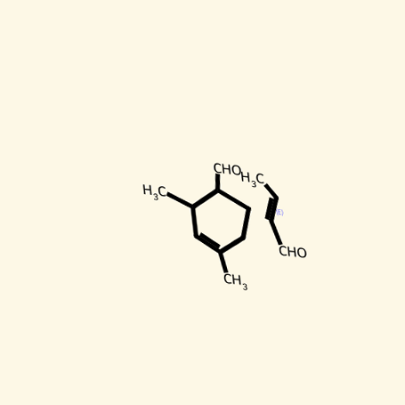 C/C=C/C=O.CC1=CC(C)C(C=O)CC1